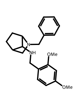 COc1ccc(CNC2C3CCC2N(Cc2ccccc2)C3)c(OC)c1